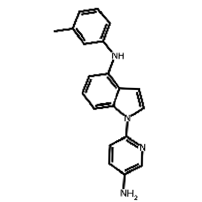 Cc1cccc(Nc2cccc3c2ccn3-c2ccc(N)cn2)c1